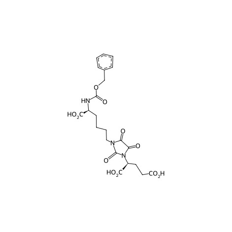 O=C(O)CC[C@@H](C(=O)O)N1C(=O)C(=O)N(CCCC[C@H](NC(=O)OCc2ccccc2)C(=O)O)C1=O